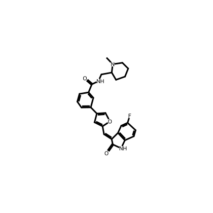 CN1CCCCC1CNC(=O)c1cccc(-c2coc(/C=C3/C(=O)Nc4ccc(F)cc43)c2)c1